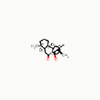 C=C1C(=O)[C@]23CC[C@H]1CC2[C@]1(CC)CCC[C@@](C)(CC)C1CC3=O